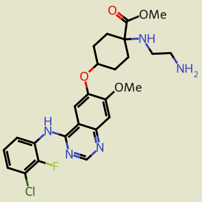 COC(=O)C1(NCCN)CCC(Oc2cc3c(Nc4cccc(Cl)c4F)ncnc3cc2OC)CC1